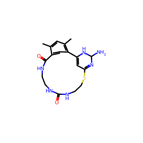 Cc1cc(C)c2cc1C(=O)NCCNC(=O)NCCSC1=NC(N)NC2=C1